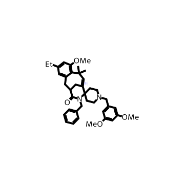 CCc1cc2c(c(OC)c1)C(C)(C)/C=C1\CC(C2)C(=O)N(Cc2ccccc2)C12CCN(Cc1cc(OC)cc(OC)c1)CC2